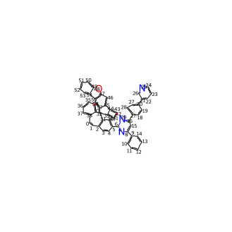 C1=Cc2ccc(-c3nc(-c4ccccc4)cc(-c4ccc(-c5cccnc5)cc4)n3)cc2C2(c3ccccc31)c1ccccc1-c1cc3oc4ccccc4c3cc12